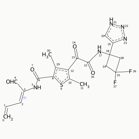 C=C/C=C(\C=O)NC(=O)c1sc(C)c(C(=O)C(=O)NC2(c3c[nH]nn3)CC(F)(F)C2)c1C